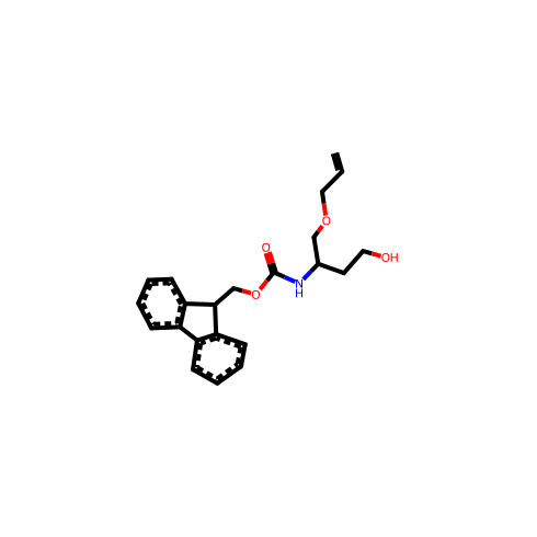 C=CCOCC(CCO)NC(=O)OCC1c2ccccc2-c2ccccc21